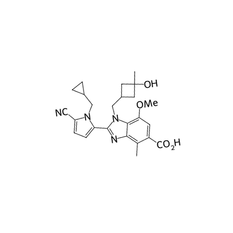 COc1cc(C(=O)O)c(C)c2nc(-c3ccc(C#N)n3CC3CC3)n(CC3CC(C)(O)C3)c12